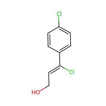 OCC=C(Cl)c1ccc(Cl)cc1